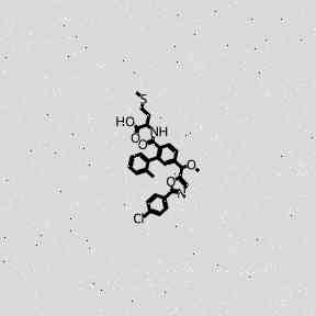 COC(c1ccc(C(=O)NC(CCSC)C(=O)O)c(-c2ccccc2C)c1)c1cnc(-c2ccc(Cl)cc2)o1